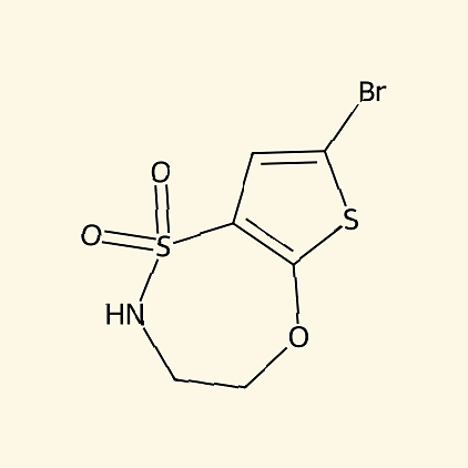 O=S1(=O)NCCOc2sc(Br)cc21